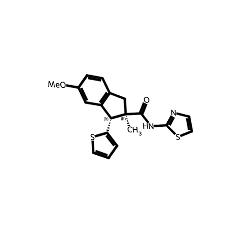 COc1ccc2c(c1)[C@@H](c1cccs1)[C@](C)(C(=O)Nc1nccs1)C2